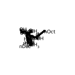 CCCCCCCC/C=C\CCCCCCCC(=O)OCC(CO)OCC(O)COCC(COCC(COCC(O)COCC(O)CO)OC(COCC(O)CN(C)C)COCC1COCC(CO)O1)OCC(O)COCC(O)C[N+](C)(C)CCCCCCCCCCCC